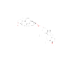 C[C@]12CC[C@H](OC(=O)O[C@H]3CC[C@@]4(C)C(CC[C@@H]5[C@@H]4CC[C@]4(C)C(=O)CC[C@@H]54)C3)CC1CC[C@@H]1[C@@H]2CC[C@]2(C)C(=O)CC[C@@H]12